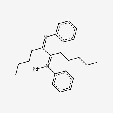 CCCCCC(C(CCCC)=Nc1ccccc1)=[N+]([Pd])c1ccccc1